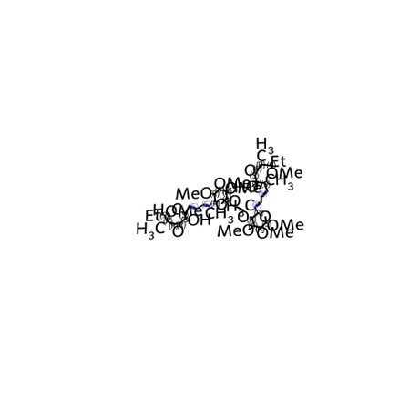 CC[C@H](OC)[C@@H](C)[C@H]1O[C@@H]1[C@@H](O)[C@@H](C)/C=C/C=C(\C)[C@H]1O[C@H](OCCO[C@H]2[C@H](OC)[C@@H](OC)[C@@H](OC)O[C@@H]2/C(C)=C/C=C/[C@H](C)[C@@H](O)[C@@H]2O[C@H]2[C@H](C)[C@H](CC)OC)[C@H](OC)[C@@H](OC)[C@@H]1OC